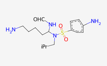 CC(C)CN(C(CCCCN)NC=O)S(=O)(=O)c1ccc(N)cc1